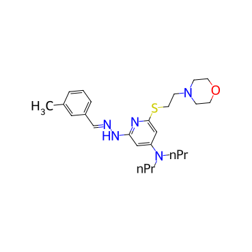 CCCN(CCC)c1cc(N/N=C/c2cccc(C)c2)nc(SCCN2CCOCC2)c1